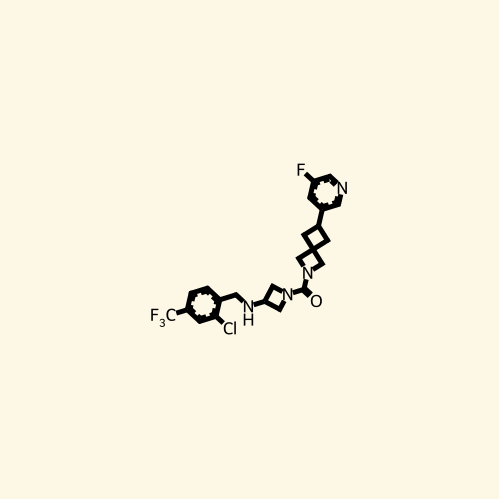 O=C(N1CC(NCc2ccc(C(F)(F)F)cc2Cl)C1)N1CC2(CC(c3cncc(F)c3)C2)C1